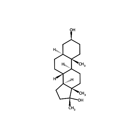 C[C@]12CC[C@H](O)C[C@@H]1CC[C@@H]1[C@@H]2CC[C@@]2(C)[C@H]1CC[C@@]2(C)O